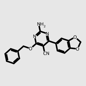 N#Cc1c(OCc2ccccc2)nc(N)nc1-c1ccc2c(c1)OCO2